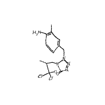 Cc1cc(Cn2nnc(=O)n2CC(C)C(Cl)(Cl)Cl)ccc1N